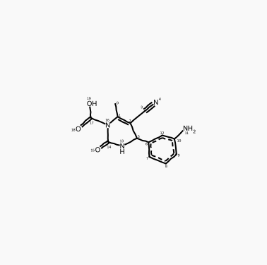 CC1=C(C#N)C(c2cccc(N)c2)NC(=O)N1C(=O)O